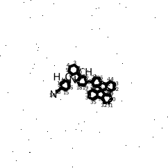 CC12CCCCC1(C)N(c1ccc(C#N)cc1)c1ccc(-c3ccc4c(c3)C3(c5ccccc5-c5ccccc53)c3ccccc3-4)cc12